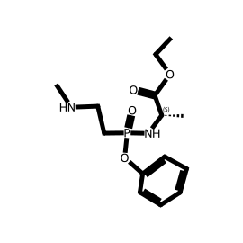 CCOC(=O)[C@H](C)NP(=O)(CCNC)Oc1ccccc1